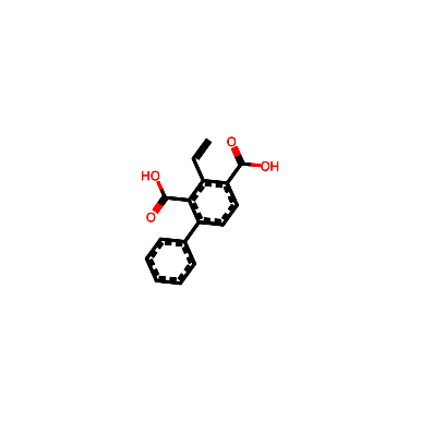 C=Cc1c(C(=O)O)ccc(-c2ccccc2)c1C(=O)O